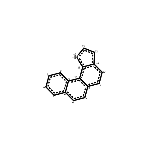 c1ccc2c(c1)ccc1ccc3cc[nH]c3c12